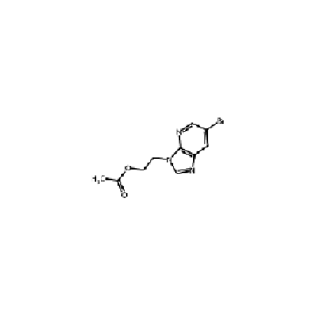 CC(=O)OCCn1cnc2cc(Br)cnc21